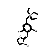 CC[N+](CC)(CC)Cc1cc(Cl)c(N=C2NCCN2Br)c(Cl)c1